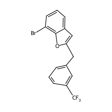 FC(F)(F)c1cccc(Cc2cc3cccc(Br)c3o2)c1